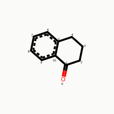 O=C1CCCc2[c][c]ccc21